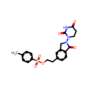 Cc1ccc(S(=O)(=O)OCCc2ccc3c(c2)CN(N2CCC(=O)NC2=O)C3=O)cc1